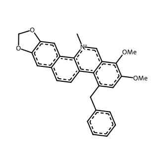 COc1cc(Cc2ccccc2)c2c(c[n+](C)c3c4cc5c(cc4ccc23)OCO5)c1OC